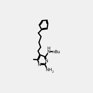 CCCCNc1nc(N)nc(C)c1CCCCCc1ccccc1